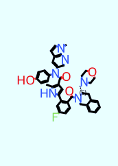 Cc1[nH]c(-c2cc(F)ccc2C(=O)N2Cc3ccccc3C[C@H]2CN2CCOCC2)cc1C(=O)N(c1ccc(O)cc1)c1cnc2c(ccn2C)c1